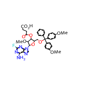 COc1ccc(C(OCC2OC(n3cnc4c(N)nc(F)nc43)C(OC)C2OC(=O)CCC(=O)O)(c2ccccc2)c2ccc(OC)cc2)cc1